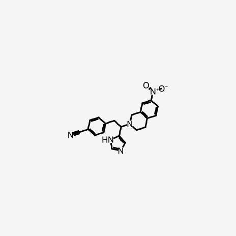 N#Cc1ccc(CC(c2cnc[nH]2)N2CCc3ccc([N+](=O)[O-])cc3C2)cc1